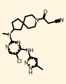 Cc1cc(Nc2nc(N(C)C3CCC4(CCN(C(=O)CC#N)CC4)C3)ncc2Cl)n[nH]1